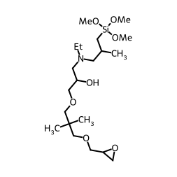 CCN(CC(C)C[Si](OC)(OC)OC)CC(O)COCC(C)(C)COCC1CO1